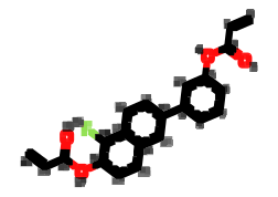 C=CC(=O)Oc1cccc(-c2ccc3c(F)c(OC(=O)C=C)ccc3c2)c1